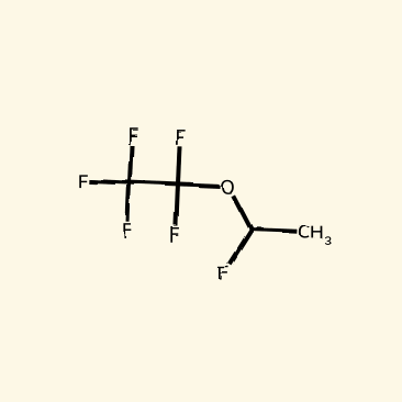 CC(F)OC(F)(F)C(F)(F)F